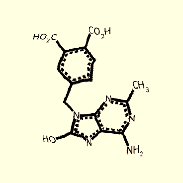 Cc1nc(N)c2nc(O)n(Cc3ccc(C(=O)O)c(C(=O)O)c3)c2n1